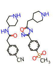 CS(=O)(=O)c1ccc(-c2noc(CC3CCNCC3)n2)cc1.N#Cc1ccc(CC(=O)NC2CCNCC2)cc1